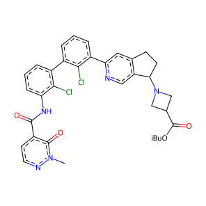 CC(C)COC(=O)C1CN(C2CCc3cc(-c4cccc(-c5cccc(NC(=O)c6ccnn(C)c6=O)c5Cl)c4Cl)ncc32)C1